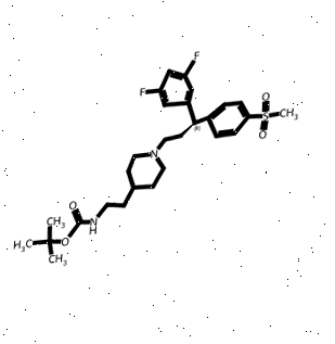 CC(C)(C)OC(=O)NCCC1CCN(CC[C@H](c2ccc(S(C)(=O)=O)cc2)c2cc(F)cc(F)c2)CC1